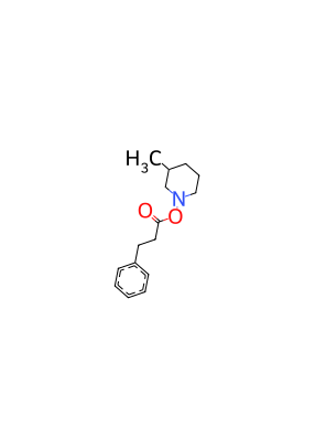 CC1CCCN(OC(=O)CCc2ccccc2)C1